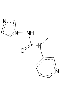 CN(C(=O)Nn1ccnc1)c1cccnc1